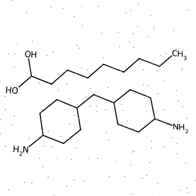 CCCCCCCCC(O)O.NC1CCC(CC2CCC(N)CC2)CC1